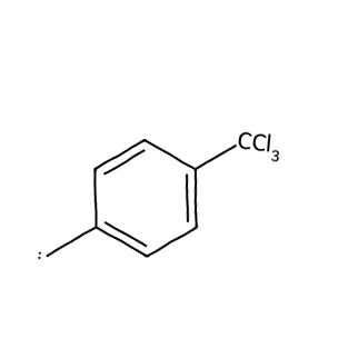 [CH]c1ccc(C(Cl)(Cl)Cl)cc1